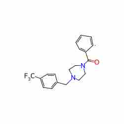 O=C(c1[c]cccc1)N1CCN(Cc2ccc(C(F)(F)F)cc2)CC1